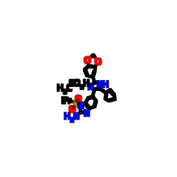 CC(C)S(=O)(=O)n1c(N)nc2ccc(-c3nc(-c4ccc5c(c4)OCO5)[nH]c3-c3ccccc3)cc21.CS(=O)(=O)O